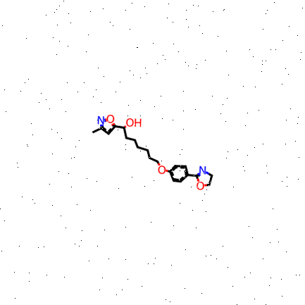 Cc1cc(C(O)CCCCCCOc2ccc(C3=NCCO3)cc2)on1